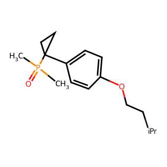 CC(C)CCOc1ccc(C2(P(C)(C)=O)CC2)cc1